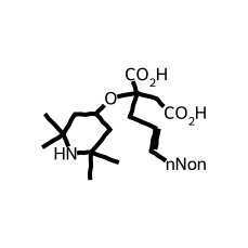 CCCCCCCCCC=CCC(CC(=O)O)(OC1CC(C)(C)NC(C)(C)C1)C(=O)O